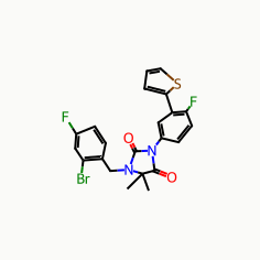 CC1(C)C(=O)N(c2ccc(F)c(-c3cccs3)c2)C(=O)N1Cc1ccc(F)cc1Br